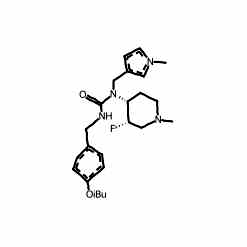 CC(C)COc1ccc(CNC(=O)N(Cc2ccn(C)c2)[C@@H]2CCN(C)C[C@@H]2F)cc1